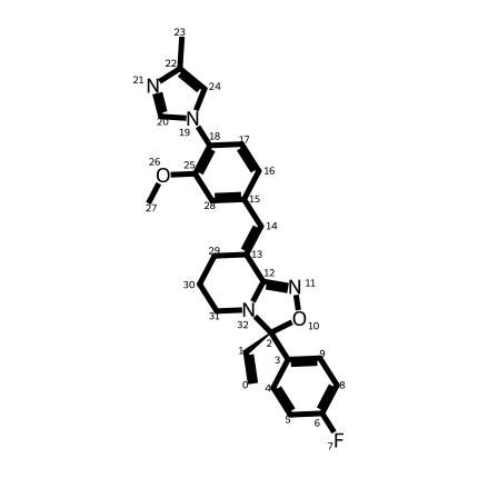 C=C[C@]1(c2ccc(F)cc2)ON=C2/C(=C/c3ccc(-n4cnc(C)c4)c(OC)c3)CCCN21